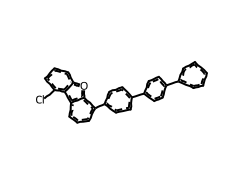 Clc1cccc2oc3c(-c4ccc(-c5ccc(-c6ccccc6)cc5)cc4)cccc3c12